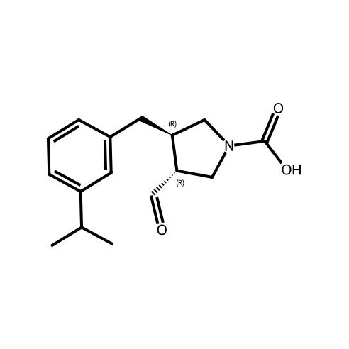 CC(C)c1cccc(C[C@H]2CN(C(=O)O)C[C@@H]2C=O)c1